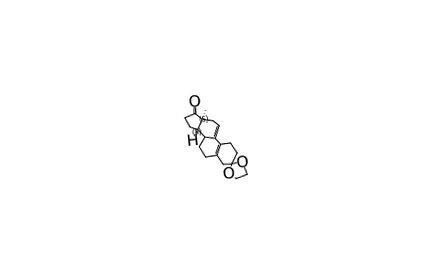 C[C@]12CC=C3C4=C(CCC3[C@@H]1CCC2=O)CC1(CC4)OCCO1